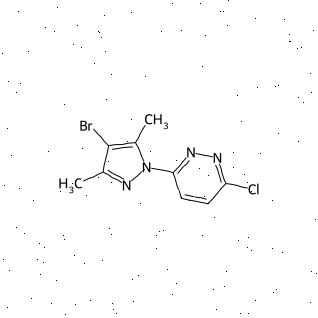 Cc1nn(-c2ccc(Cl)nn2)c(C)c1Br